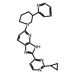 c1ccc(C2CCCN(c3ccc4nc(-c5ccnc(C6CC6)n5)[nH]c4n3)C2)nc1